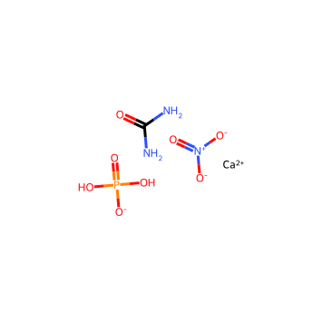 NC(N)=O.O=P([O-])(O)O.O=[N+]([O-])[O-].[Ca+2]